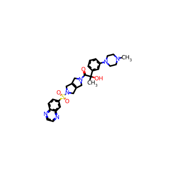 CN1CCN(c2cccc(C(C)(O)C(=O)N3CC4=C(C3)CN(S(=O)(=O)c3ccc5nccnc5c3)C4)c2)CC1